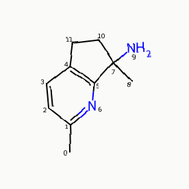 Cc1ccc2c(n1)C(C)(N)CC2